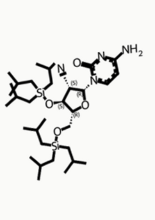 CC(C)C[Si](CC(C)C)(CC(C)C)OC[C@H]1O[C@@H](n2ccc(N)nc2=O)[C@@H](C#N)[C@@H]1O[Si](CC(C)C)(CC(C)C)CC(C)C